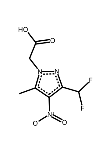 Cc1c([N+](=O)[O-])c(C(F)F)nn1CC(=O)O